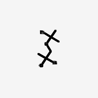 CCC(C)([O])COC(C)(C)CC